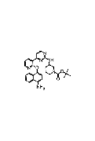 CC(C)(C)OC(=O)N1CCCC(Nc2nccc(-c3cccnc3Oc3ccc(N)c4ccccc34)n2)C1